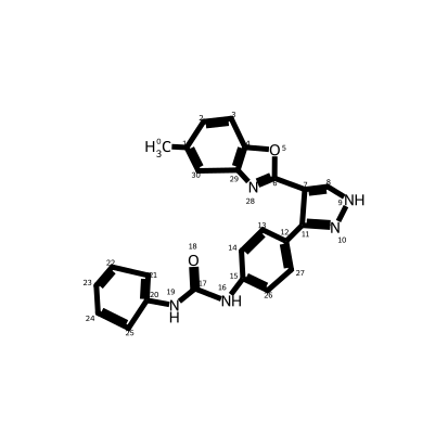 Cc1ccc2oc(-c3c[nH]nc3-c3ccc(NC(=O)Nc4ccccc4)cc3)nc2c1